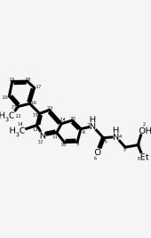 CCC(O)CNC(=O)Nc1ccc2nc(C)c(-c3ccccc3C)cc2c1